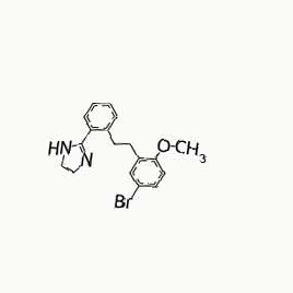 COc1ccc(Br)cc1CCc1ccccc1C1=NCCN1